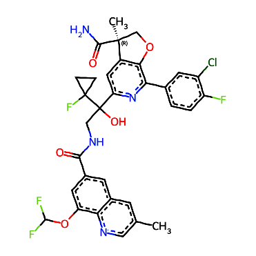 Cc1cnc2c(OC(F)F)cc(C(=O)NCC(O)(c3cc4c(c(-c5ccc(F)c(Cl)c5)n3)OC[C@]4(C)C(N)=O)C3(F)CC3)cc2c1